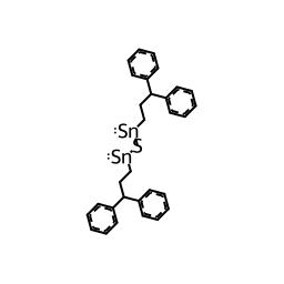 c1ccc(C(C[CH2][Sn][S][Sn][CH2]CC(c2ccccc2)c2ccccc2)c2ccccc2)cc1